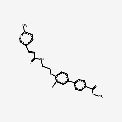 COC(=O)c1ccc(-c2ccc(OCCNC(=O)C=Cc3ccc(N)nc3)c(Cl)c2)cc1